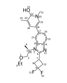 CCOC[C@@H](C)n1c(C2CC(F)(F)C2)nc2ccc(C3=CN(C)C(O)C(C)=C3)cc21